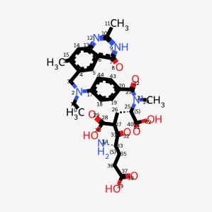 CCN(Cc1cc2c(=O)[nH]c(C)nc2cc1C)c1ccc(C(=O)N(C)[C@@H](CC(C(=O)O)C(=O)[C@@H](N)CCC(=O)O)C(=O)O)cc1